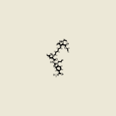 CCCn1c(NC(=O)c2cc(C)nn2CCCCCc2c(C)nn(CC)c2C(=O)OCC)nc2cc(C(N)=O)ccc21